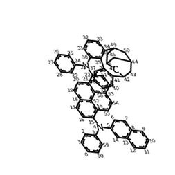 c1ccc(N(c2ccc3ccccc3c2)c2ccc3ccc4c(N(c5ccccc5)c5cccc6c5-c5ccccc5C5CC7CC(C5)CC6C7)ccc5ccc2c3c54)cc1